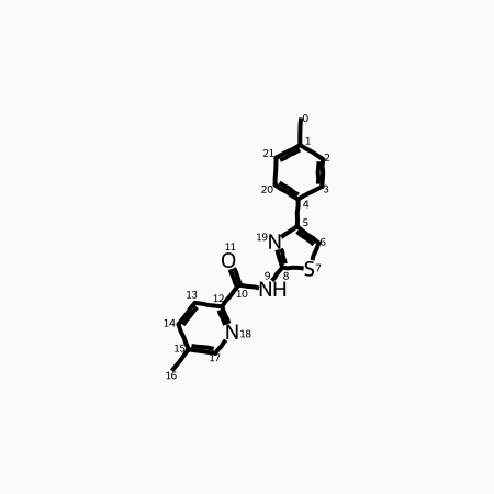 Cc1ccc(-c2csc(NC(=O)c3ccc(C)cn3)n2)cc1